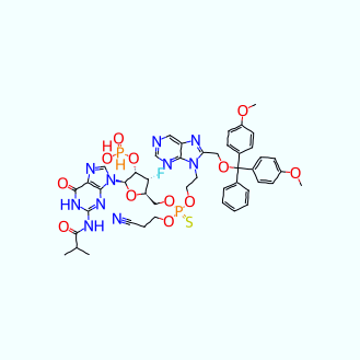 COc1ccc(C(OCc2nc3cncnc3n2CCOP(=S)(OCCC#N)OC[C@H]2O[C@@H](n3cnc4c(=O)[nH]c(NC(=O)C(C)C)nc43)[C@H](O[PH](=O)O)[C@@H]2F)(c2ccccc2)c2ccc(OC)cc2)cc1